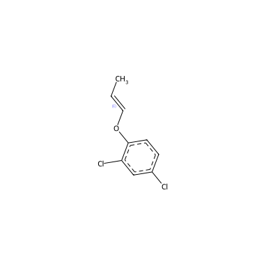 C/C=C/Oc1ccc(Cl)cc1Cl